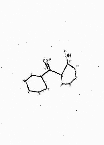 O=C(C1CCCCC1)C1CCCCC1O